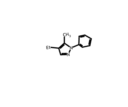 CCc1cnn(-c2ccccc2)c1C